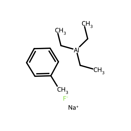 C[CH2][Al]([CH2]C)[CH2]C.Cc1ccccc1.[F-].[Na+]